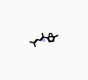 CC(C)=C/C=C(\C)c1ccc(C)o1